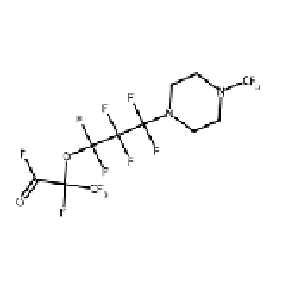 O=C(F)C(F)(OC(F)(F)C(F)(F)C(F)(F)N1CCN(C(F)(F)F)CC1)C(F)(F)F